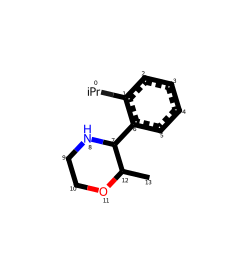 CC(C)c1ccccc1C1NCCOC1C